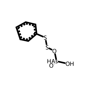 O=[AsH](O)OSSc1ccccc1